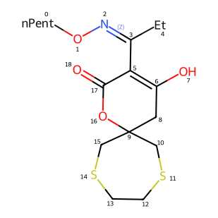 CCCCCO/N=C(/CC)C1=C(O)CC2(CSCCSC2)OC1=O